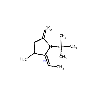 C=C1CC(C)/C(=C/C)N1C(C)(C)C